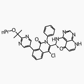 CCCOC(C)(C)c1ncc(-c2cccc3c(Cl)c([C@H](C)Nc4ncnc5[nH]ccc(=O)c45)n(-c4ccccc4)c(=O)c23)cn1